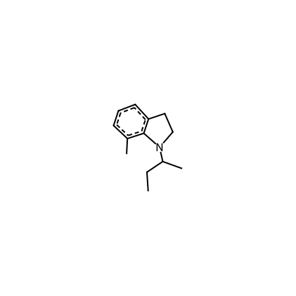 CCC(C)N1CCc2cccc(C)c21